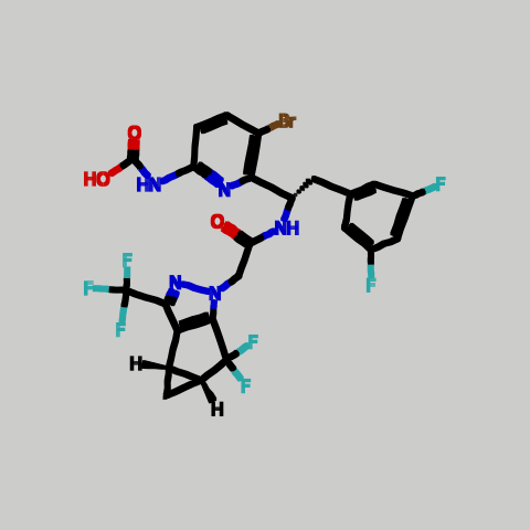 O=C(O)Nc1ccc(Br)c([C@H](Cc2cc(F)cc(F)c2)NC(=O)Cn2nc(C(F)(F)F)c3c2C(F)(F)[C@@H]2C[C@H]32)n1